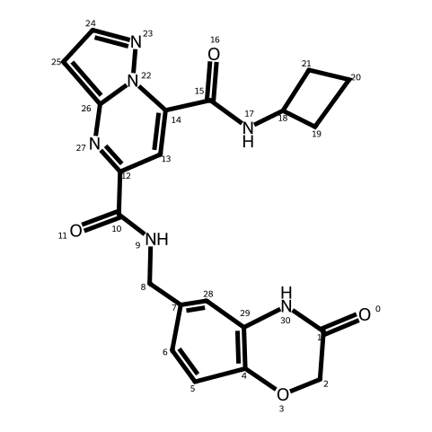 O=C1COc2ccc(CNC(=O)c3cc(C(=O)NC4CCC4)n4nccc4n3)cc2N1